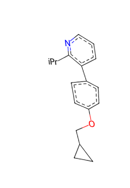 CC(C)c1ncccc1-c1ccc(OCC2CC2)cc1